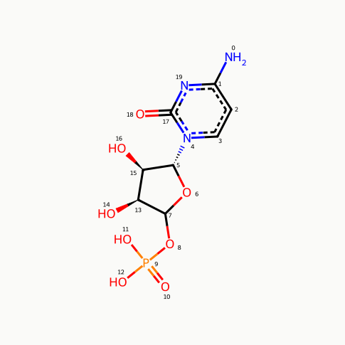 Nc1ccn([C@@H]2OC(OP(=O)(O)O)[C@@H](O)[C@H]2O)c(=O)n1